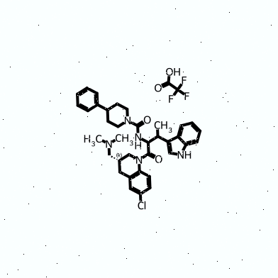 CC(c1c[nH]c2ccccc12)C(NC(=O)N1CCC(c2ccccc2)CC1)C(=O)N1C[C@@H](CN(C)C)Cc2cc(Cl)ccc21.O=C(O)C(F)(F)F